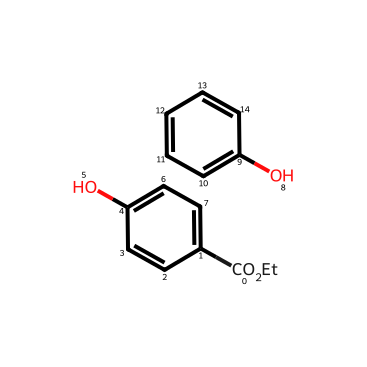 CCOC(=O)c1ccc(O)cc1.Oc1ccccc1